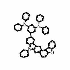 c1ccc(N(c2ccccc2)c2cc(-c3ccc4c(c3)c3cc5c(ccc6oc7ccccc7c65)cc3n4-c3ccccc3)cc(N(c3ccccc3)c3ccccc3)c2)cc1